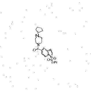 CCCS(=O)(=O)n1ccc2cc(C(=O)N3CCN(C4CCCC4)CC3)ccc21